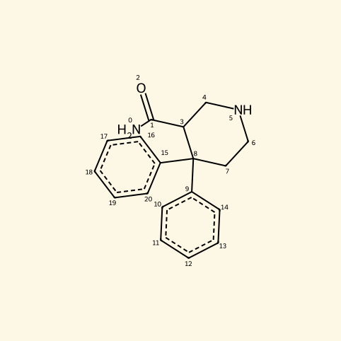 NC(=O)C1CNCCC1(c1ccccc1)c1ccccc1